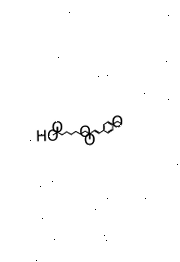 COc1ccc(C=CC(=O)OCCCCCC(=O)O)cc1